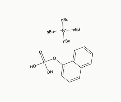 CCCC[N+](CCCC)(CCCC)CCCC.O=P(O)(O)Oc1cccc2ccccc12